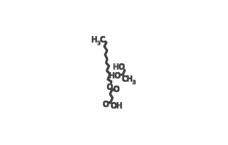 CC(O)CO.CCCCCCCCCCCCOC(=O)CCC(=O)O